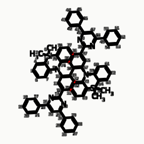 C[Si]1(C)c2ccccc2N(c2cc(-c3nc(-c4ccccc4)cc(-c4ccccc4)n3)ccc2-c2ccc(-c3nc(-c4ccccc4)cc(-c4ccccc4)n3)cc2N2c3ccccc3[Si](C)(C)c3ccccc32)c2ccccc21